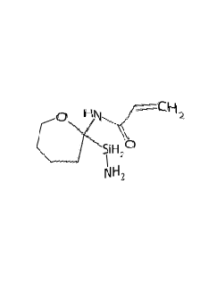 C=CC(=O)NC1([SiH2]N)CCCCO1